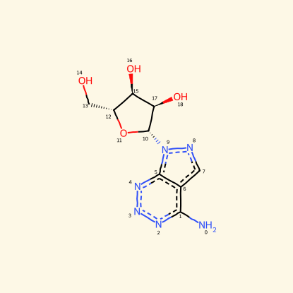 Nc1nnnc2c1cnn2[C@@H]1O[C@H](CO)[C@@H](O)[C@H]1O